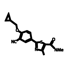 CNC(=O)c1sc(-c2ccc(OCC3CC3)c(C#N)c2)nc1C